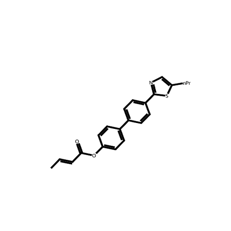 CC=CC(=O)Oc1ccc(-c2ccc(-c3ncc(CCC)s3)cc2)cc1